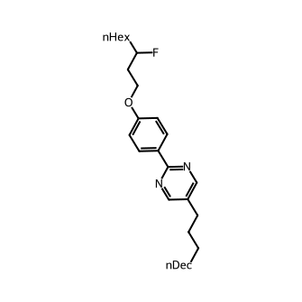 CCCCCCCCCCCCCc1cnc(-c2ccc(OCCC(F)CCCCCC)cc2)nc1